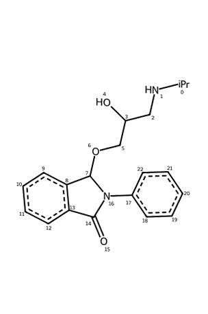 CC(C)NCC(O)COC1c2ccccc2C(=O)N1c1ccccc1